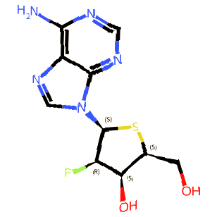 Nc1ncnc2c1ncn2[C@H]1S[C@@H](CO)[C@@H](O)[C@H]1F